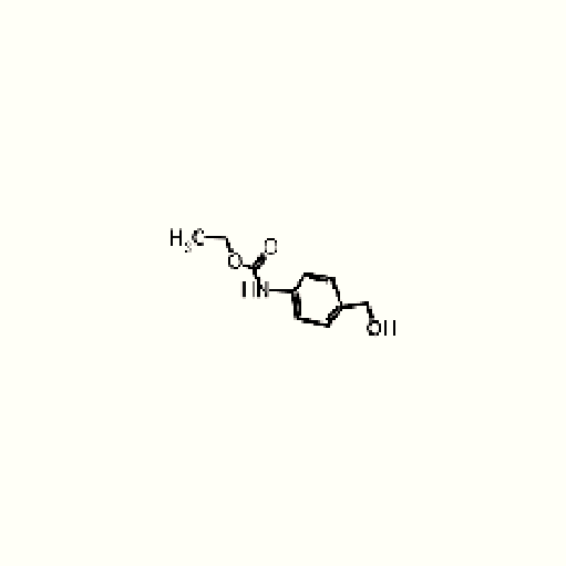 CCOC(=O)Nc1ccc(CO)cc1